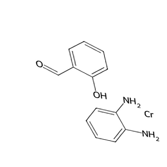 Nc1ccccc1N.O=Cc1ccccc1O.[Cr]